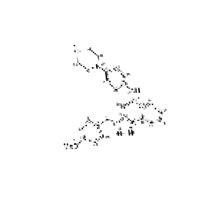 COc1ccc(Cc2nnc3c4ccccc4c(Nc4ccc(N5CCOCC5)cc4)nn23)cc1